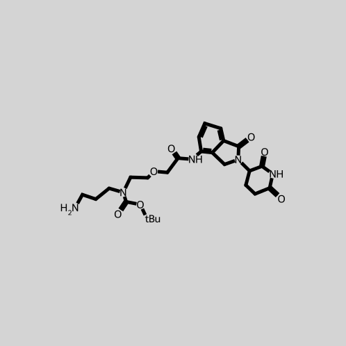 CC(C)(C)OC(=O)N(CCCN)CCOCC(=O)Nc1cccc2c1CN(C1CCC(=O)NC1=O)C2=O